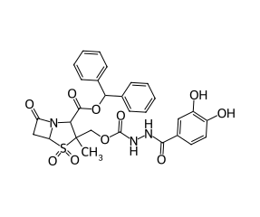 CC1(COC(=O)NNC(=O)c2ccc(O)c(O)c2)C(C(=O)OC(c2ccccc2)c2ccccc2)N2C(=O)CC2S1(=O)=O